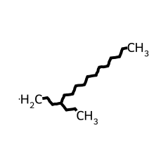 [CH2]CCC(CCC)CCCCCCCCCCCC